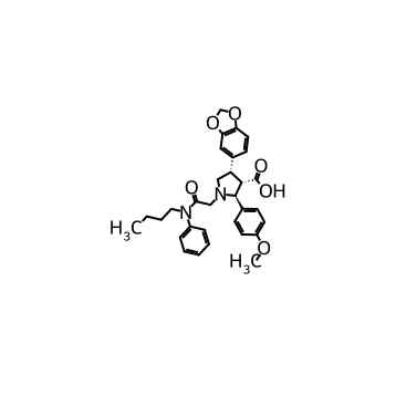 CCCCN(C(=O)CN1C[C@H](c2ccc3c(c2)OCO3)[C@H](C(=O)O)[C@H]1c1ccc(OC)cc1)c1ccccc1